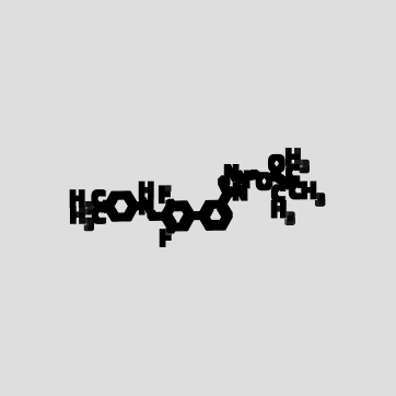 CC1(C)CCC(NCc2c(F)cc(-c3cccc(-c4cnn(COC(=O)C(C)(C)C)n4)c3)cc2F)CC1